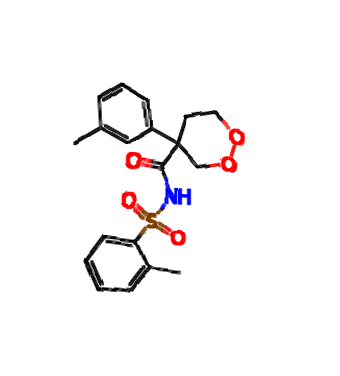 Cc1cccc(C2(C(=O)NS(=O)(=O)c3ccccc3C)CCOOC2)c1